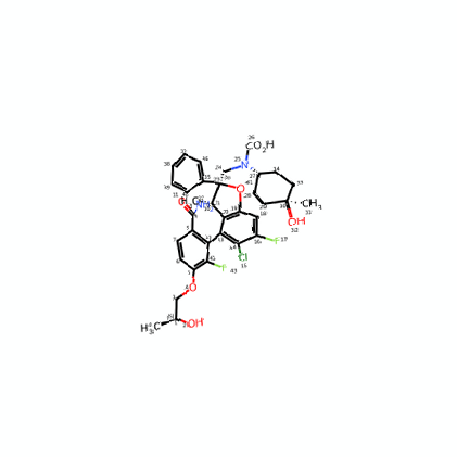 C[C@H](O)COc1ccc(C(N)=O)c(-c2c(Cl)c(F)cc3c2[C@H](C)[C@@](CN(C(=O)O)[C@H]2CC[C@](C)(O)CC2)(c2ccccc2)O3)c1F